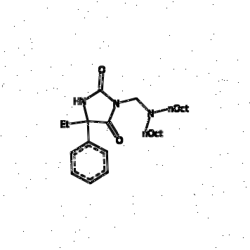 CCCCCCCCN(CCCCCCCC)CN1C(=O)NC(CC)(c2ccccc2)C1=O